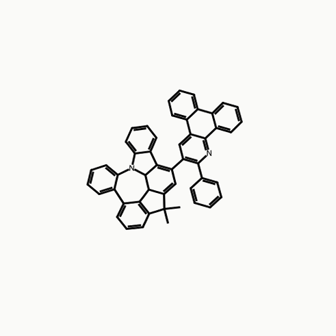 CC1(C)C2=CC(c3cc4c5ccccc5c5ccccc5c4nc3-c3ccccc3)=C3c4ccccc4N4c5ccccc5-c5cccc1c5C2C34